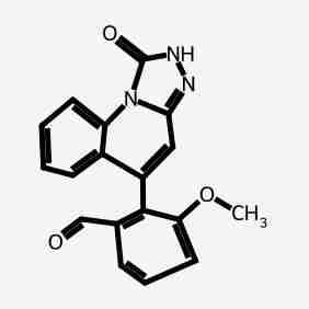 COc1cccc(C=O)c1-c1cc2n[nH]c(=O)n2c2ccccc12